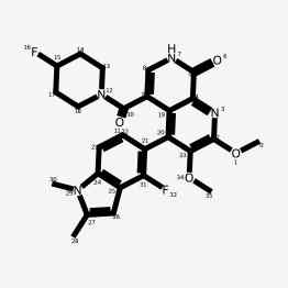 COc1nc2c(=O)[nH]cc(C(=O)N3CCC(F)CC3)c2c(-c2ccc3c(cc(C)n3C)c2F)c1OC